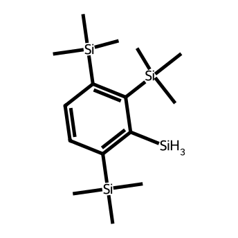 C[Si](C)(C)c1ccc([Si](C)(C)C)c([Si](C)(C)C)c1[SiH3]